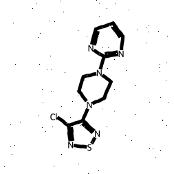 Clc1nsnc1N1CCN(c2ncccn2)CC1